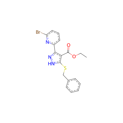 CCOC(=O)c1c(-c2cccc(Br)n2)n[nH]c1SCc1ccccc1